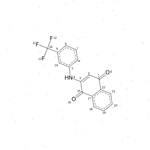 O=C1C=C(Nc2cccc(C(F)(F)F)c2)C(=O)c2ccccc21